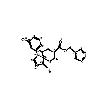 O=C(OCc1ccccc1)N1CCC2(CC1)C(=O)N=CN2c1cccc(Cl)c1